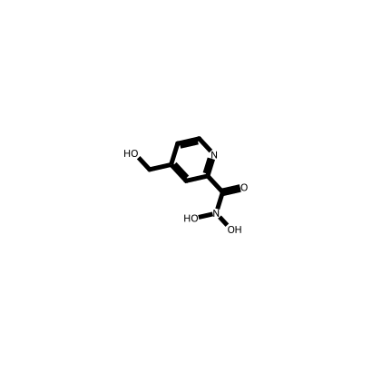 O=C(c1cc(CO)ccn1)N(O)O